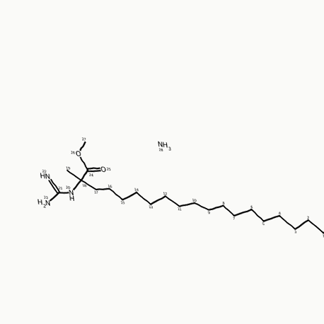 CCCCCCCCCCCCCCCCCCC(C)(NC(=N)N)C(=O)OC.N